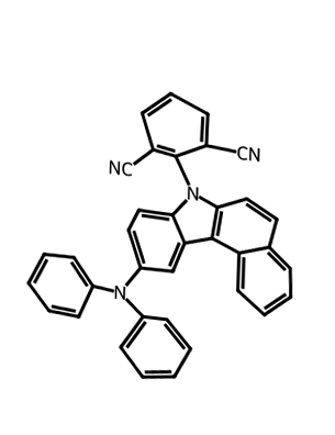 N#Cc1cccc(C#N)c1-n1c2ccc(N(c3ccccc3)c3ccccc3)cc2c2c3ccccc3ccc21